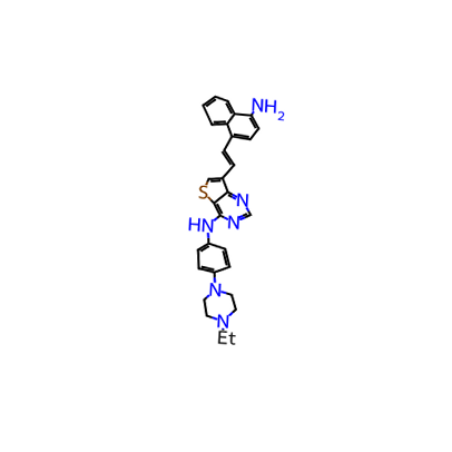 CCN1CCN(c2ccc(Nc3ncnc4c(C=Cc5ccc(N)c6ccccc56)csc34)cc2)CC1